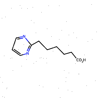 O=C(O)CCCCCc1ncccn1